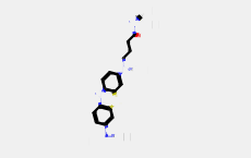 CN(C)c1ccc2c(c1)[SH]=c1cc(N(C)CCCC(=O)NC(C)(C)C)ccc1=N2